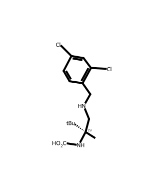 CC(C)(C)[C@@](C)(CNCc1ccc(Cl)cc1Cl)NC(=O)O